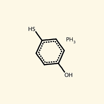 Oc1ccc(S)cc1.P